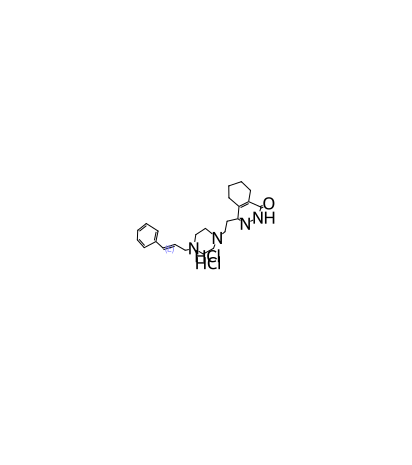 Cl.Cl.O=c1[nH]nc(CCN2CCN(C/C=C/c3ccccc3)CC2)c2c1CCCC2